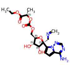 C=NC[C@@]1(c2ccc3c(N)ncnn23)O[C@H](COC(=O)O[C@@H](C)C(=O)OCC)[C@@H](O)[C@H]1O